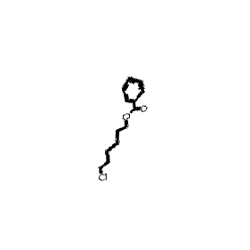 O=C(OCCCCCCCl)c1ccccc1